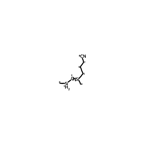 C[SiH2]O[SiH](C)CCCC#N